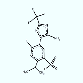 CC(C)c1cc(F)c(-n2nc(C(F)(F)F)nc2N)cc1S(=O)(=O)F